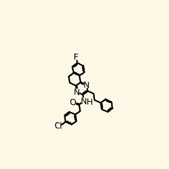 O=C(Cc1ccc(Cl)cc1)Nc1nc2c(nc1CCc1ccccc1)-c1ccc(F)cc1CC2